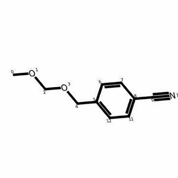 COCOCc1ccc(C#N)cc1